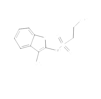 Cc1c(NS(=O)(=O)CCC=O)sc2ccccc12